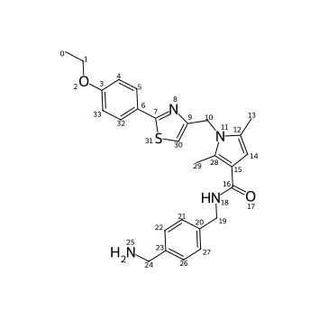 CCOc1ccc(-c2nc(Cn3c(C)cc(C(=O)NCc4ccc(CN)cc4)c3C)cs2)cc1